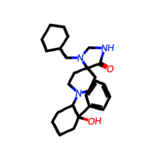 O=C1NCN(CC2CCCCC2)C12CCN(C1CCCCC1(O)c1ccccc1)CC2